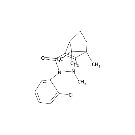 Cn1c2c(c(=O)n1-c1ccccc1Cl)C1CCC2(C)C1(C)C